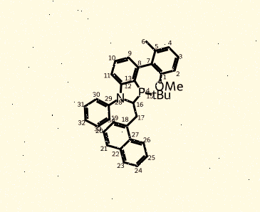 COc1cccc(C)c1-c1cccc2c1P(C(C)(C)C)C(Cc1cccc3ccccc13)N2c1ccccc1